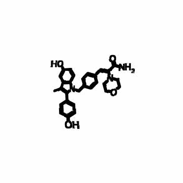 Cc1c(-c2ccc(O)cc2)n(Cc2ccc(C=C(C(N)=O)N3CCOCC3)cc2)c2ccc(O)cc12